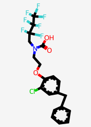 O=C(O)N(CCOc1ccc(Cc2ccccc2)cc1Cl)CC(F)(F)C(F)(F)C(F)(F)F